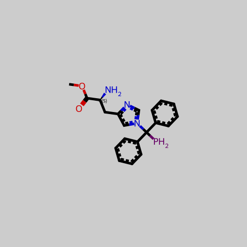 COC(=O)[C@@H](N)Cc1cn(C(P)(c2ccccc2)c2ccccc2)cn1